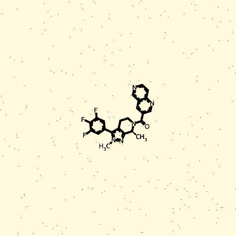 C[C@H]1c2nn(C)c(-c3cc(F)c(F)c(F)c3)c2CCN1C(=O)c1cnc2ccncc2c1